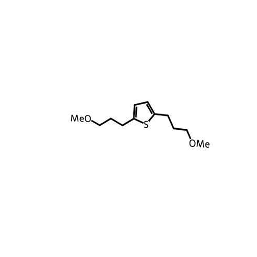 COCCCc1ccc(CCCOC)s1